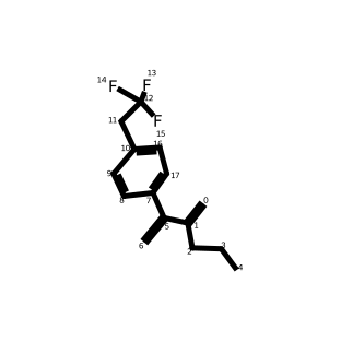 C=C(CCC)C(=C)c1ccc(CC(F)(F)F)cc1